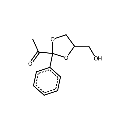 CC(=O)C1(c2ccccc2)OCC(CO)O1